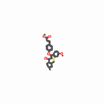 COC(=O)/C=C/c1ccc(Oc2c(C(=O)c3ccc(C)cc3C)sc3cc(OC)ccc23)cc1